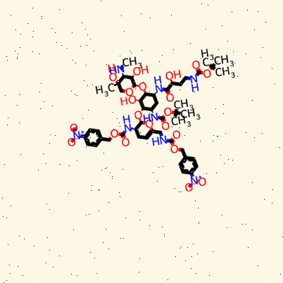 CN[C@@H]1[C@@H](O)[C@@H](O[C@@H]2[C@@H](O)[C@H](O[C@H]3OC(CNC(=O)OCc4ccc([N+](=O)[O-])cc4)=CC[C@H]3NC(=O)OCc3ccc([N+](=O)[O-])cc3)[C@@H](NC(=O)OC(C)(C)C)C[C@H]2NC(=O)[C@@H](O)CCNC(=O)OC(C)(C)C)OC[C@]1(C)O